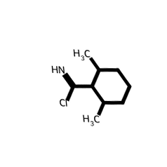 CC1CCCC(C)C1C(=N)Cl